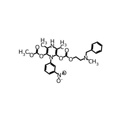 COC(=O)OC1=C(C)NC(C)=C(OC(=O)OCCN(C)Cc2ccccc2)N1c1cccc([N+](=O)[O-])c1